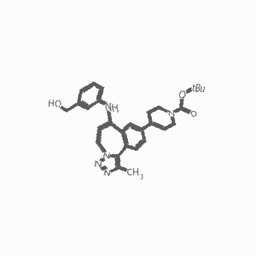 Cc1nnn2c1-c1ccc(C3=CCN(C(=O)OC(C)(C)C)CC3)cc1C(Nc1cccc(CO)c1)CC2